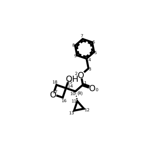 O=C(OCc1ccccc1)[C@H](C1CC1)C1(O)COC1